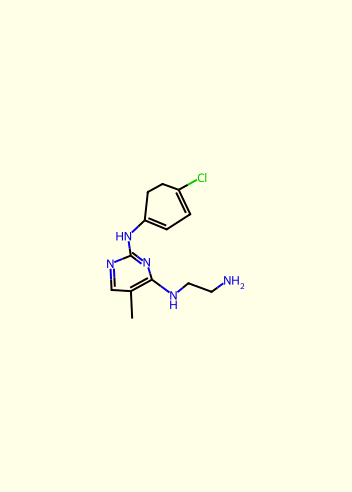 Cc1cnc(NC2=CC=C(Cl)CC2)nc1NCCN